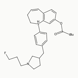 CC(C)(C)C(=O)Oc1ccc2c(c1)[SH](c1ccc(CC3CCN(CCCF)C3)cc1)CCC=C2